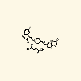 O=C(O)C=CC(=O)O.O=C1CSc2ncc(CNC3CCN(CCn4c(=O)cnc5ccc(F)cc54)CC3)cc2N1